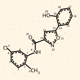 Cc1ccc(Cl)cc1NC(=O)c1cc(-c2ccccc2O)on1